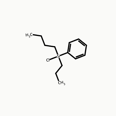 CCCC[Si](Cl)(CCC)c1ccccc1